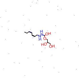 CC/C=C\C=C/CNNC(O)OCC(O)CO